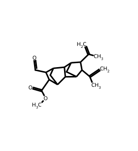 C=C(C)C1C2CC(C1C(=C)C)C1C3CC(C(C=O)C3C(=O)OC)C21